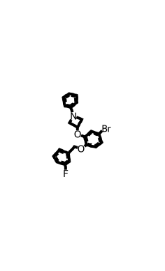 Fc1cccc(COc2ccc(Br)cc2OC2CN(c3ccccc3)C2)c1